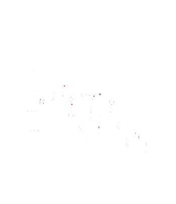 c1ccc(-n2c3ccccc3c3cc(-c4cccc5c4C4(c6ccccc6Oc6ccccc64)c4ccc(-c6ccccn6)cc4O5)ccc32)cc1